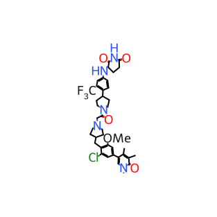 COc1cc(-c2cn(C)c(=O)c(C)c2C)cc(Cl)c1CC1CCN(CC(=O)N2CCC(c3ccc(NC4CCC(=O)NC4=O)cc3C(F)(F)F)CC2)CC1